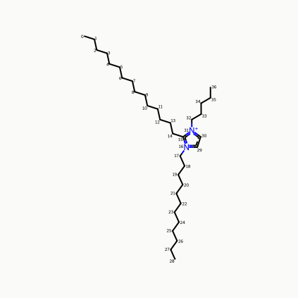 CCCCCCCCCCCCCCCc1n(CCCCCCCCCCCC)cc[n+]1CCCCC